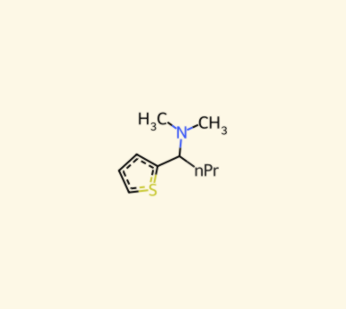 CCCC(c1cccs1)N(C)C